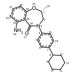 C[C@@H]1CN(c2ccc(C3CCCCC3)cc2)C(=O)c2c(ccnc2N)O1